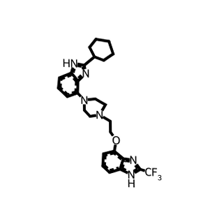 FC(F)(F)c1nc2c(OCCN3CCN(c4cccc5[nH]c(C6CCCCC6)nc45)CC3)cccc2[nH]1